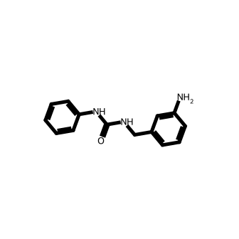 Nc1cccc(CNC(=O)Nc2ccccc2)c1